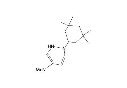 CNC1=CNN(C2CC(C)(C)CC(C)(C)C2)C=C1